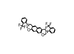 FC(F)(F)c1ccccc1N1COc2cc3cc4c(cc3cc2C1)CN(c1ccccc1C(F)(F)F)CO4